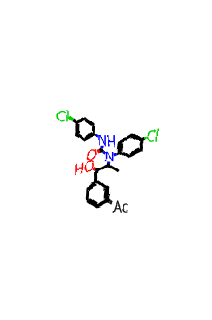 CC(=O)c1cccc(C(O)C(C)N(C(=O)Nc2ccc(Cl)cc2)c2ccc(Cl)cc2)c1